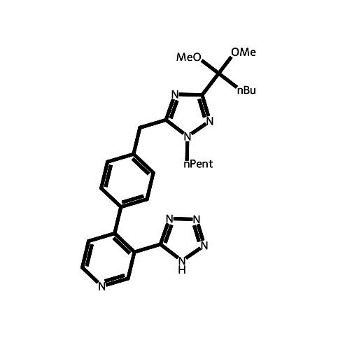 CCCCCn1nc(C(CCCC)(OC)OC)nc1Cc1ccc(-c2ccncc2-c2nnn[nH]2)cc1